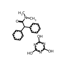 CN(C)C(=O)C(c1ccccc1)c1ccccc1.Oc1nc(O)nc(O)n1